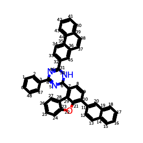 c1ccc(C2=NC(c3ccc(-c4ccc5ccccc5c4)c4oc5ccccc5c34)NC(c3ccc4c(ccc5ccccc54)c3)=N2)cc1